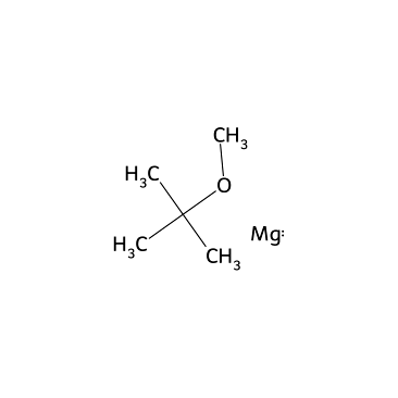 COC(C)(C)C.[Mg]